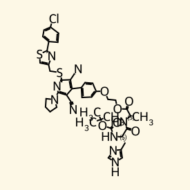 C[C@H](NC(=O)[C@H](Cc1c[nH]cn1)NC(=O)OC(C)(C)C)C(=O)OCCOc1ccc(-c2c(C#N)c(SCc3csc(-c4ccc(Cl)cc4)n3)nc(N3CCCC3)c2C#N)cc1